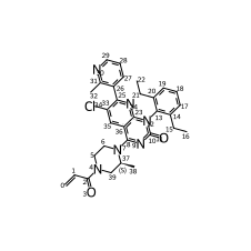 C=CC(=O)N1CCN(c2nc(=O)n(-c3c(CC)cccc3CC)c3nc(-c4cccnc4C)c(Cl)cc23)[C@@H](C)C1